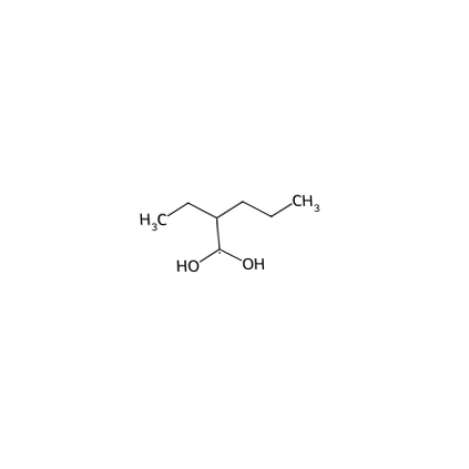 CCCC(CC)[C](O)O